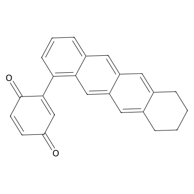 O=C1C=CC(=O)C(c2cccc3cc4cc5c(cc4cc23)CCCC5)=C1